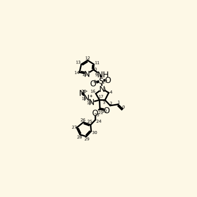 C=CCC1CN(S(=O)(=O)Nc2ccccn2)CC1(N=[N+]=[N-])C(=O)OCc1ccccc1